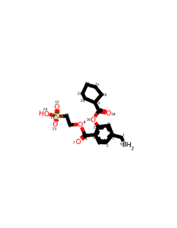 BCc1ccc(C(=O)OCCS(=O)(=O)O)c(OC(=O)C2CCCCC2)c1